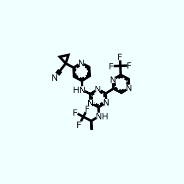 CC(Nc1nc(Nc2ccnc(C3(C#N)CC3)c2)nc(-c2cncc(C(F)(F)F)n2)n1)C(F)(F)F